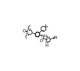 CCN1CC(c2ccc(NC(=O)C3=NC(C#N)CN3)c(C3=CCC(C)(C)CC3)c2)CN(CC)C1=O